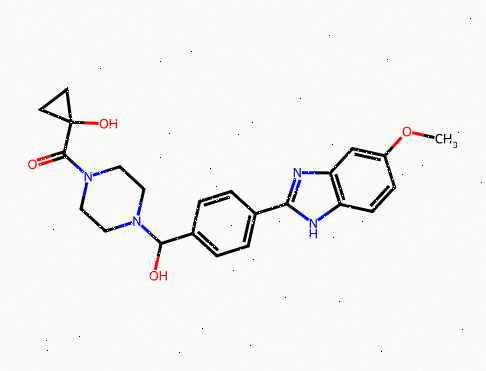 COc1ccc2[nH]c(-c3ccc(C(O)N4CCN(C(=O)C5(O)CC5)CC4)cc3)nc2c1